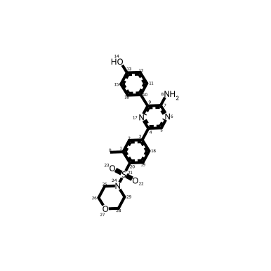 Cc1cc(-c2cnc(N)c(-c3ccc(O)cc3)n2)ccc1S(=O)(=O)N1CCOCC1